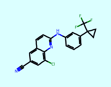 N#Cc1cc(Cl)c2nc(Nc3cccc(C4(C(F)(F)F)CC4)c3)ccc2c1